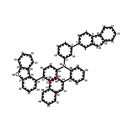 c1cc(-c2ccc3c(c2)sc2ccccc23)cc(N(c2ccc(-c3cccc4oc5ccccc5c34)cc2)c2ccccc2-c2ccc3ccccc3c2)c1